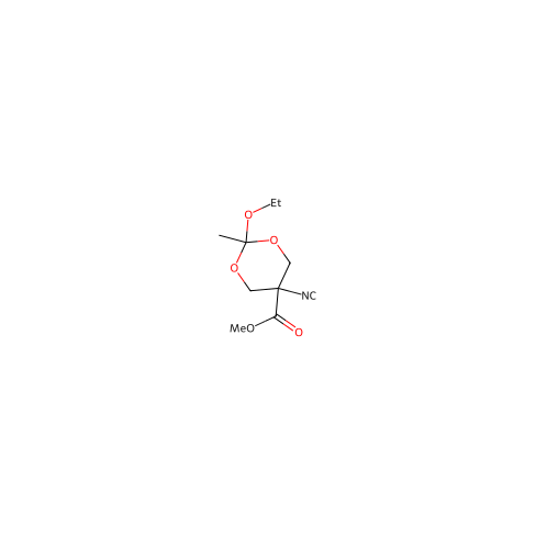 [C-]#[N+]C1(C(=O)OC)COC(C)(OCC)OC1